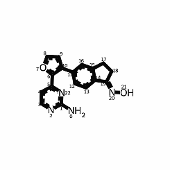 Nc1nccc(-c2occc2-c2ccc3c(c2)CCC3=NO)n1